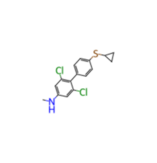 CNc1cc(Cl)c(-c2ccc(SC3CC3)cc2)c(Cl)c1